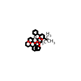 CC(C)(C)c1ccc(-c2ccccc2N(c2ccccc2-c2cccc3cccc(C4CCCCC4)c23)c2cccc3c2oc2ccccc23)cc1